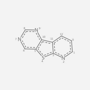 c1cnc2sc3cncnc3c2c1